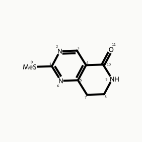 CSc1ncc2c(n1)CCNC2=O